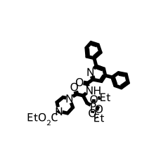 CCOC(=O)N1CCN(C(=O)C(CP(=O)(OCC)OCC)NC(=O)c2cc(-c3ccccc3)cc(-c3ccccc3)n2)CC1